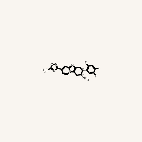 Cc1nc(-c2ccn3c4c(nc3c2)C[C@H](c2cc(F)c(F)cc2F)[C@@H](N)C4)no1